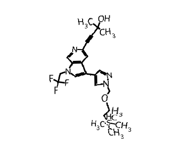 CC(C)(O)C#Cc1cc2c(-c3cnn(COCC[SH](C)(C)(C)C)c3)cn(CC(F)(F)F)c2cn1